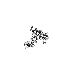 CCc1cc2c(N3CCN(C(=O)CC(F)(F)F)CC3)nc(N[C@H]3CONC3=O)nc2s1